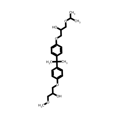 COCC(O)COc1ccc(C(C)(C)c2ccc(OCC(O)COC(C)C)cc2)cc1